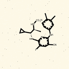 Cc1ccc(Nc2nc(N[C@H](C3CC3)[C@H](C)NC(=O)O)c(F)cc2C#N)cc1C